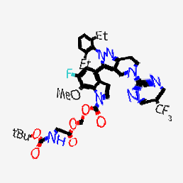 CCc1cccc(CC)c1-n1nc2c(c1-c1cc(F)c(OC)c3c1ccn3C(=O)OCOC(=O)CNC(=O)OC(C)(C)C)CN(c1ncc(C(F)(F)F)cn1)CC2